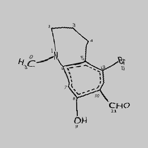 CN1CCCc2c1cc(O)c(C=O)c2Br